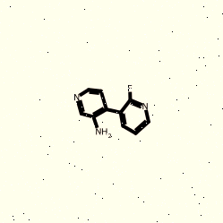 Nc1cnccc1-c1cccnc1F